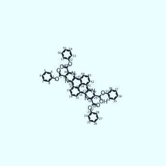 O=C(Oc1ccccc1)c1nc2c3cccc4c5nc(C(=O)Oc6ccccc6)c(C(O)Oc6ccccc6)nc5c5cccc(c2nc1C(=O)Oc1ccccc1)c5c34